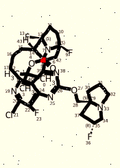 CC(C)(C)OC(=O)N1[C@]2(F)CC[C@@]1(F)[C@H]1CCCc3nc(Cl)c(F)c4nc(OC[C@@]56CCCN5C[C@H](F)C6)nc(c34)N1C2